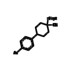 CCCCCCCC1(C#N)CCC(c2ccc(C(C)=O)cc2)CC1